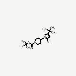 CC(C)(C)OC(=O)N1CCC(n2nc(C(C)(C)C)cc2N)CC1